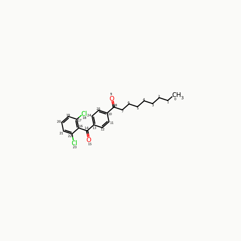 CCCCCCCCC(=O)c1ccc(C(=O)c2c(Cl)cccc2Cl)cc1